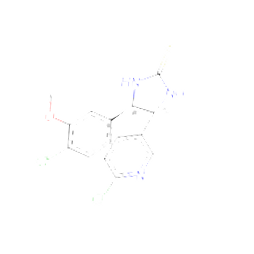 COc1cc([C@H]2NC(=S)N[C@@]2(C)c2ccc(Cl)nc2)ccc1Cl